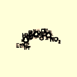 CCN(c1ccc(NS(=O)(=O)c2ccc(NC(=O)c3cc([N+](=O)[O-])ccc3Cl)cc2)cc1)C(C)C